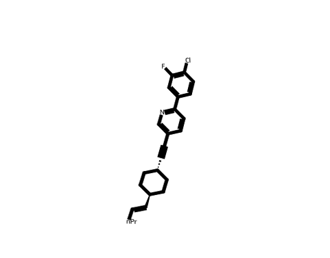 CCCC=C[C@H]1CC[C@H](C#Cc2ccc(-c3ccc(Cl)c(F)c3)nc2)CC1